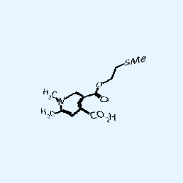 CSCCOC(=O)C1=C(C(=O)O)C=C(C)N(C)C1